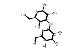 OC[C@H]1O[C@@H](O)[C@H](O)[C@@H](O[C@@H]2O[C@H](CO)[C@@H](O)[C@H](O)[C@H]2O)[C@H]1O